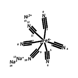 N#[C][Fe-4]([C]#N)([C]#N)([C]#N)([C]#N)[C]#N.[Na+].[Na+].[Ni+2]